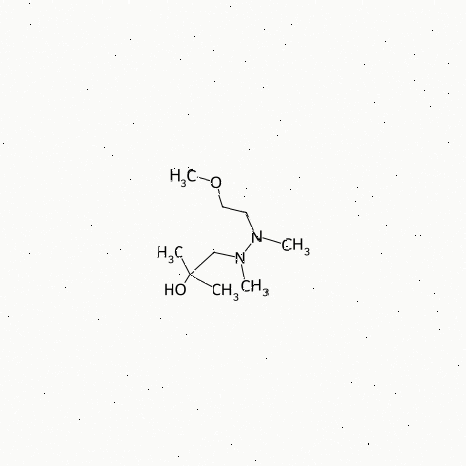 COCCN(C)N(C)CC(C)(C)O